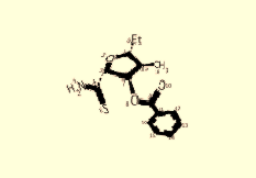 CC[C@H]1O[C@@H](C(N)=S)[C@H](OC(=O)c2ccccc2)[C@@H]1C